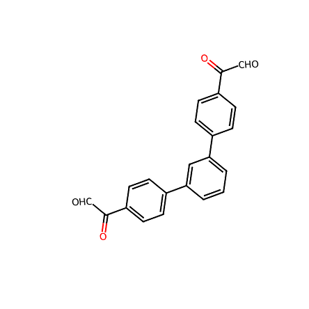 O=CC(=O)c1ccc(-c2cccc(-c3ccc(C(=O)C=O)cc3)c2)cc1